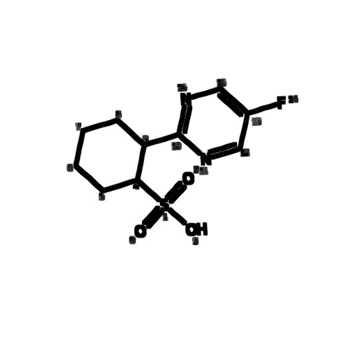 O=S(=O)(O)C1CCCCC1c1ncc(F)cn1